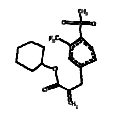 C=C(Cc1ccc(S(C)(=O)=O)c(C(F)(F)F)c1)C(=O)OC1CCCCC1